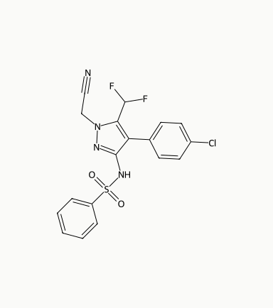 N#CCn1nc(NS(=O)(=O)c2ccccc2)c(-c2ccc(Cl)cc2)c1C(F)F